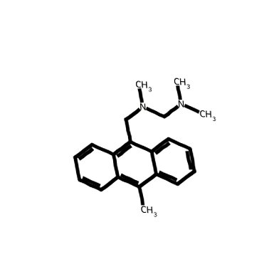 Cc1c2ccccc2c(CN(C)CN(C)C)c2ccccc12